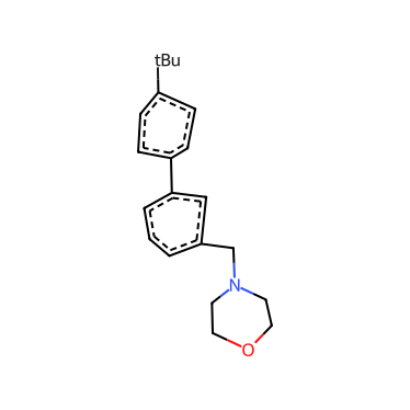 CC(C)(C)c1ccc(-c2cccc(CN3CCOCC3)c2)cc1